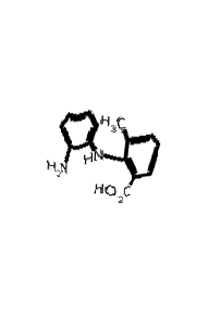 Cc1cccc(C(=O)O)c1Nc1ccccc1N